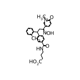 Cc1ccccc1C(CC(=NO)c1ccc(=O)n(C)c1)c1ccc(C(=O)NCCCC(=O)O)cc1